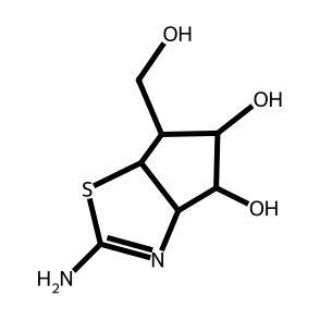 NC1=NC2C(O)C(O)C(CO)C2S1